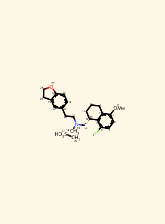 COc1ccc(F)c2c1CCC[C@H]2CN(C)CCc1ccc2c(c1)CCO2.CS(=O)(=O)O